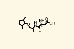 CC(COC1C(C)CCC1C)NC(=O)[C@@H](N)CC(=O)O